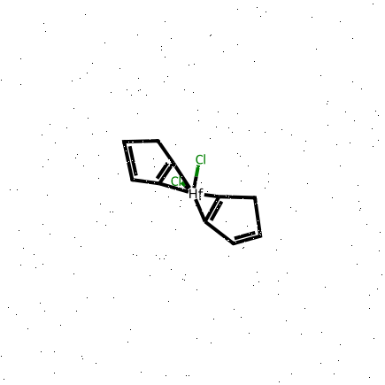 [Cl][Hf]12([Cl])([C]3=[C]1CC=C3)[C]1=[C]2CC=C1